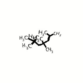 CC(C)=CC(C)(C)CC(C)(C)C